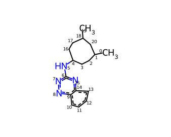 CC1CCC(Nc2nnc3ccccc3n2)CCC(C)C1